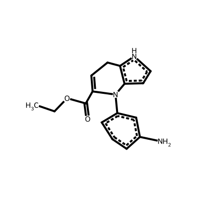 CCOC(=O)C1=CCc2[nH]ccc2N1c1cccc(N)c1